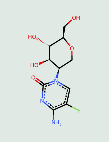 Nc1nc(=O)n([C@@H]2CO[C@H](CO)[C@@H](O)[C@@H]2O)cc1F